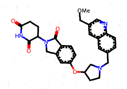 COCc1cnc2ccc(CN3CCC(Oc4ccc5c(c4)CN(C4CCC(=O)NC4=O)C5=O)C3)cc2c1